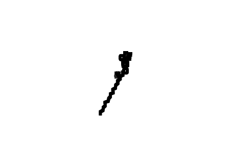 CCCCCCCCCCCCCCCCCC(CCOc1ccc(C(=O)C(F)(F)F)cc1)N(C)C